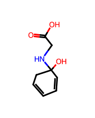 O=C(O)CNC1(O)C=CC=CC1